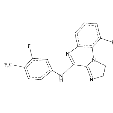 Fc1cc(NC2=Nc3cccc(Br)c3N3CCN=C23)ccc1C(F)(F)F